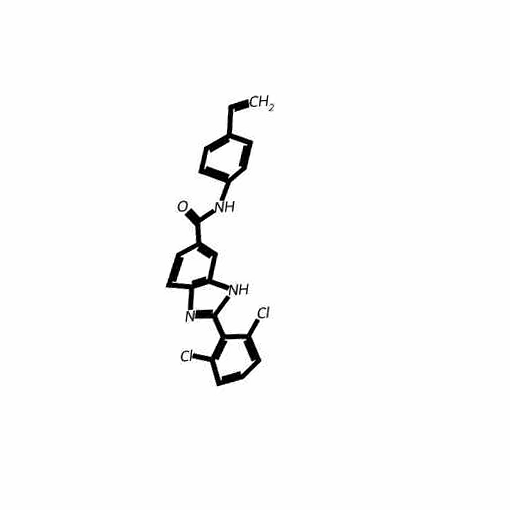 C=Cc1ccc(NC(=O)c2ccc3nc(-c4c(Cl)cccc4Cl)[nH]c3c2)cc1